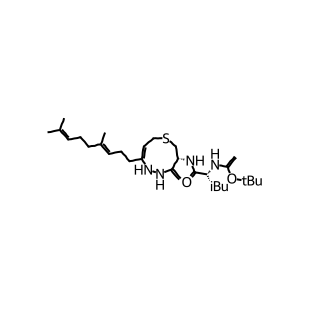 C=C(N[C@@H](C(=O)N[C@H]1CSC/C=C(/CC/C=C(\C)CCC=C(C)C)NNC1=C)[C@@H](C)CC)OC(C)(C)C